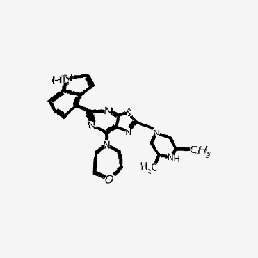 CC1CN(Cc2nc3c(N4CCOCC4)nc(-c4cccc5[nH]ccc45)nc3s2)CC(C)N1